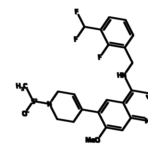 COc1cc2nccc(NCc3cccc(C(F)F)c3F)c2cc1C1=CCN([S+](C)[O-])CC1